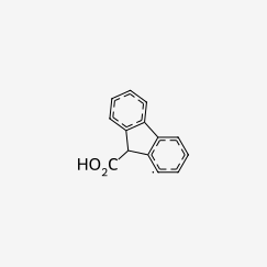 O=C(O)C1c2[c]cccc2-c2ccccc21